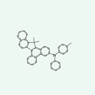 Cc1ccc(N(c2ccccc2)c2ccc3c4c(c5ccccc5c3c2)-c2ccc3ccccc3c2C4(C)C)cc1